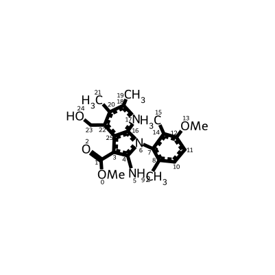 COC(=O)c1c(N)n(-c2c(C)ccc(OC)c2C)c2nc(C)c(C)c(CO)c12